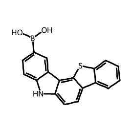 OB(O)c1ccc2[nH]c3ccc4c5ccccc5sc4c3c2c1